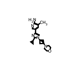 Cc1cc(-c2cn(C34CC(N5CCOCC5)(C3)C4)c(C3CC3)n2)cnc1N